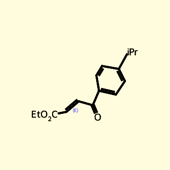 CCOC(=O)/C=C/C(=O)c1ccc(C(C)C)cc1